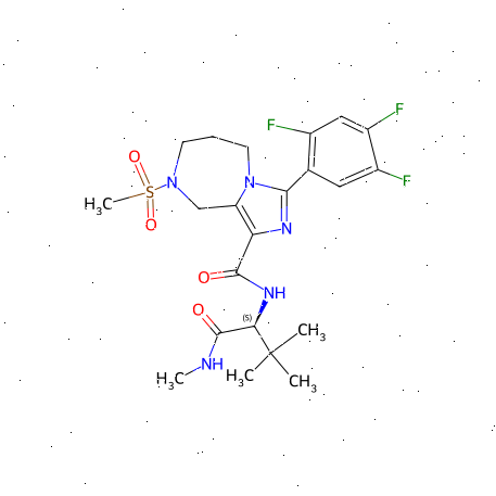 CNC(=O)[C@@H](NC(=O)c1nc(-c2cc(F)c(F)cc2F)n2c1CN(S(C)(=O)=O)CCC2)C(C)(C)C